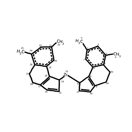 Cc1cc(C)c2c(c1)C1=C(C=C[CH]1[Zr][CH]1C=CC3=C1c1cc(C)cc(C)c1CC3)CC2